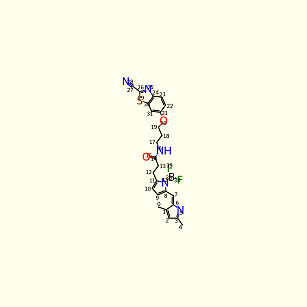 CC1=CC(C)=NC1=Cc1ccc(CCC(=O)NCCCOc2ccc3nc(C#N)sc3c2)n1B(F)F